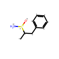 CC(Cc1ccccc1)[S+](N)[O-]